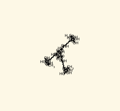 CC(=O)NC1C(O)[C@@H](O)C(CO)O[C@H]1OCCCCCCNC(=O)CNC(=O)CC(NC(O)CC(NCC=O)C(=O)NCC(=O)NCCCCCCO[C@@H]1OC(CO)[C@H](O)C(O)C1NC(C)=O)C(=O)NCC(=O)NCCCCCCO[C@@H]1OC(CO)[C@H](O)C(O)C1NC(C)=O